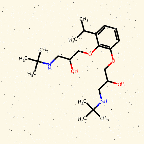 CC(C)c1cccc(OCC(O)CNC(C)(C)C)c1OCC(O)CNC(C)(C)C